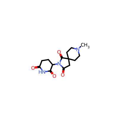 CN1CCC2(CC1)CC(=O)N(C1CCC(=O)NC1=O)C2=O